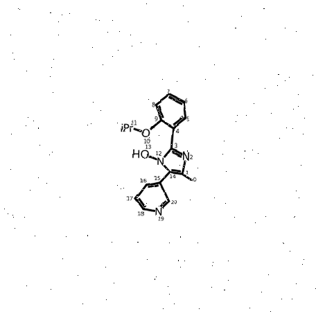 Cc1nc(-c2ccccc2OC(C)C)n(O)c1-c1cccnc1